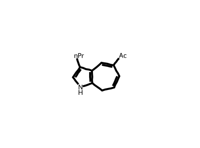 CCCc1c[nH]c2c1C=C(C(C)=O)C=CC2